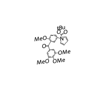 COc1ccc([N+]2(C(=O)OC(C)(C)C)C=CC=C2)cc1C(=O)c1cc(OC)c(OC)c(OC)c1